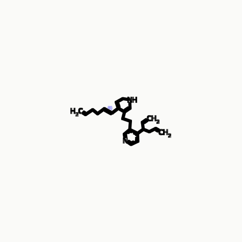 C=CCC/C=C/C1=CCNC=C1CCc1cnccc1C(C=C)CC=C